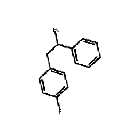 CC[C](Cc1ccc(F)cc1)c1ccccc1